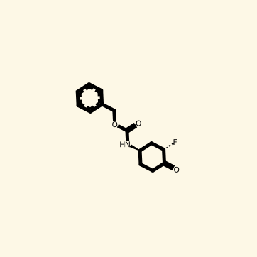 O=C(N[C@@H]1CCC(=O)[C@@H](F)C1)OCc1ccccc1